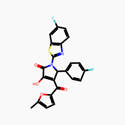 Cc1ccc(C(=O)C2=C(O)C(=O)N(c3nc4ccc(F)cc4s3)C2c2ccc(F)cc2)o1